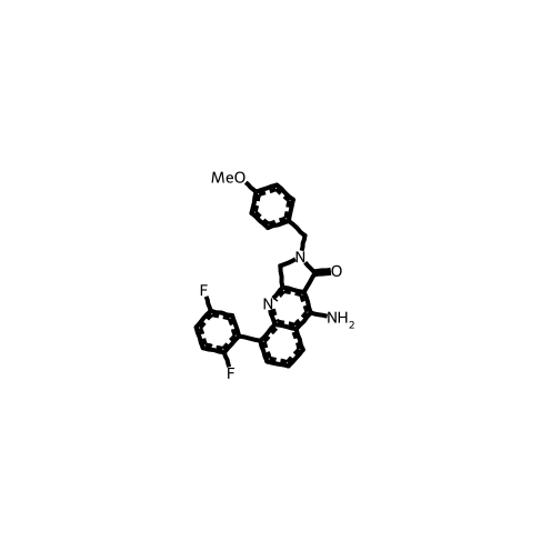 COc1ccc(CN2Cc3nc4c(-c5cc(F)ccc5F)cccc4c(N)c3C2=O)cc1